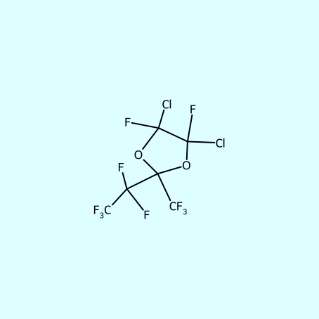 FC(F)(F)C(F)(F)C1(C(F)(F)F)OC(F)(Cl)C(F)(Cl)O1